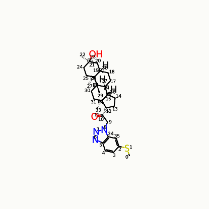 CSc1ccc2nnn(CC(=O)[C@H]3CC[C@H]4[C@@H]5CC[C@@H]6C[C@](C)(O)CC[C@]6(C)[C@@]5(C)CC[C@]34C)c2c1